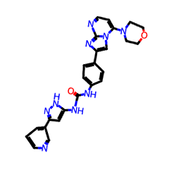 O=C(Nc1ccc(-c2cn3c(N4CCOCC4)ccnc3n2)cc1)Nc1cc(-c2cccnc2)n[nH]1